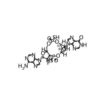 Nc1ncnc2c1ncn2[C@@H]1O[C@@H]2COP(=O)(S)O[C@@H]3[C@H](O)[C@H](C[C@H]3n3cnc4c(=O)[nH]cnc43)OP(=O)(S)[C@H]2[C@H]1F